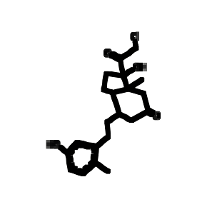 Cc1ccc(O)cc1CCC1CC(=O)CC2(C)C1CCC2(O)C(=O)CCl